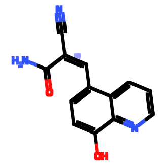 N#C/C(=C/c1ccc(O)c2ncccc12)C(N)=O